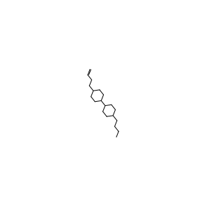 C=CCCC1CCC(C2CCC(CCCC)CC2)CC1